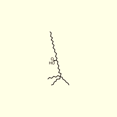 CCCCCCCCCCCCCCC(CCCCCCCC(CCCCCC)(CCCCCC)CCCCCC)C(=O)O